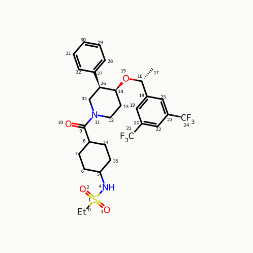 CCS(=O)(=O)NC1CCC(C(=O)N2CC[C@H](O[C@H](C)c3cc(C(F)(F)F)cc(C(F)(F)F)c3)[C@H](c3ccccc3)C2)CC1